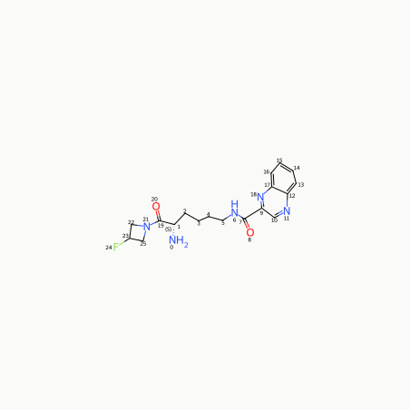 N[C@@H](CCCCNC(=O)c1cnc2ccccc2n1)C(=O)N1CC(F)C1